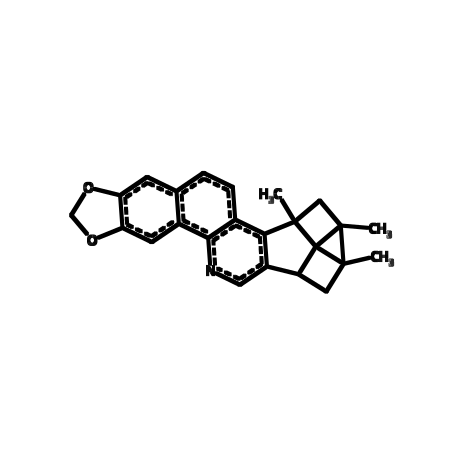 CC12CC3(C)C4(C)CC(c5cnc6c(ccc7cc8c(cc76)OCO8)c51)C243